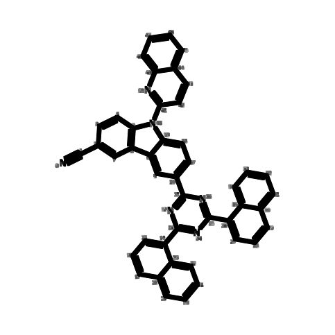 N#Cc1ccc2c(c1)c1cc(-c3nc(-c4cccc5ccccc45)nc(-c4cccc5ccccc45)n3)ccc1n2-c1ccc2ccccc2n1